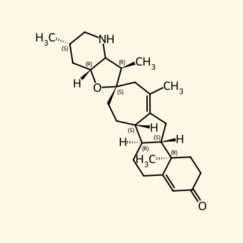 CC1=C2C[C@H]3[C@@H](CCC4=CC(=O)CC[C@@]43C)[C@@H]2CC[C@@]2(C1)O[C@@H]1C[C@H](C)CNC1[C@H]2C